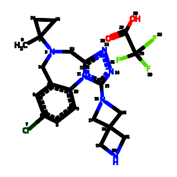 CC1(N2Cc3cc(Cl)ccc3-n3c(nnc3N3CC4(CNC4)C3)C2)CC1.O=C(O)C(F)(F)F